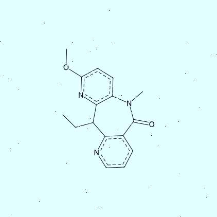 CCC1c2ncccc2C(=O)N(C)c2ccc(OC)nc21